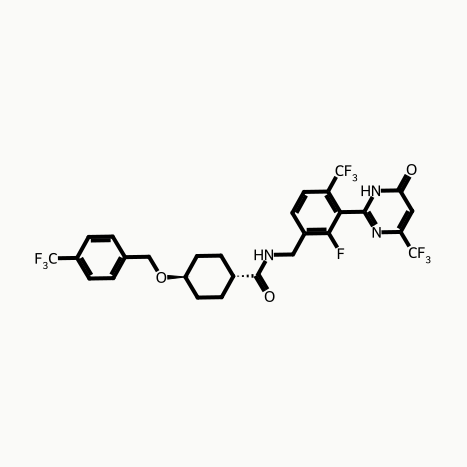 O=c1cc(C(F)(F)F)nc(-c2c(C(F)(F)F)ccc(CNC(=O)[C@H]3CC[C@H](OCc4ccc(C(F)(F)F)cc4)CC3)c2F)[nH]1